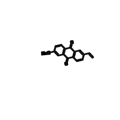 C=Cc1ccc2c(c1)C(=O)c1ccc(OC)cc1C2=O